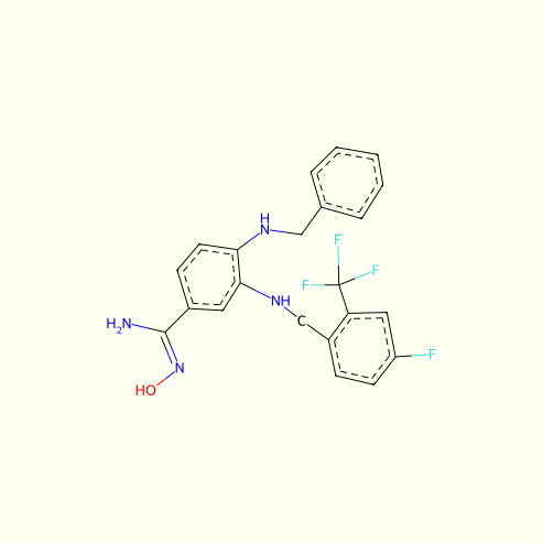 NC(=NO)c1ccc(NCc2ccccc2)c(NCc2ccc(F)cc2C(F)(F)F)c1